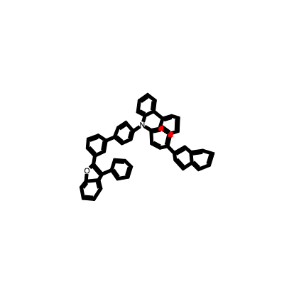 c1ccc(-c2ccccc2N(c2ccc(-c3cccc(-c4oc5ccccc5c4-c4ccccc4)c3)cc2)c2ccc(-c3ccc4ccccc4c3)cc2)cc1